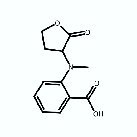 CN(c1ccccc1C(=O)O)C1CCOC1=O